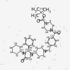 CC(C)(C)OC(=O)N1CCN(C(=O)c2ccc(CN3CCC(N4CC(=O)N(C5CCCCC5)[C@H]4c4ccccc4)CC3)cc2)CC1